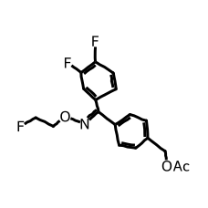 CC(=O)OCc1ccc(/C(=N/OCCF)c2ccc(F)c(F)c2)cc1